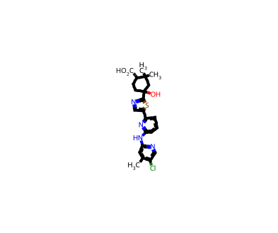 Cc1cc(Nc2cccc(-c3cnc(C4(O)CCC(C(=O)O)C(C)(C)C4)s3)n2)ncc1Cl